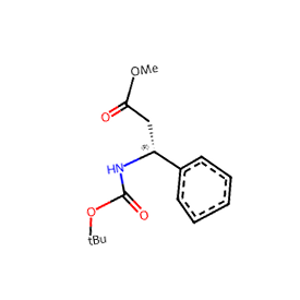 COC(=O)C[C@@H](NC(=O)OC(C)(C)C)c1ccccc1